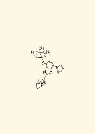 CC(C)(O)C(F)(F)Oc1ccc(-n2cccn2)c2oc(N3CC4CC(C3)N4)nc12